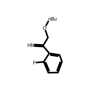 CCCCOCC(=N)c1ccccc1F